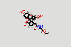 CCOCCCNC(=O)Cc1ccc2c(c1)C1(OC2=O)c2ccc(O)cc2Oc2cc(O)ccc21